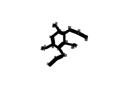 C=C=Nc1c(C(C)C)cc(C(C)C)c(N=C=O)c1C(C)C